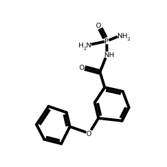 NP(N)(=O)NC(=O)c1cccc(Oc2ccccc2)c1